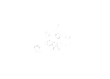 COC(=O)c1c(-c2cc(OC)c(OC)c(OC)c2)c2cc(OC)c(OCc3ccccn3)cc2c(=O)n1N1CCOCC1